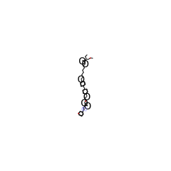 CCCC(CC)C(=O)OCCCCCCOc1ccc(-c2ccc(OCCOC(=O)/C=C/c3ccccc3)cc2)cc1